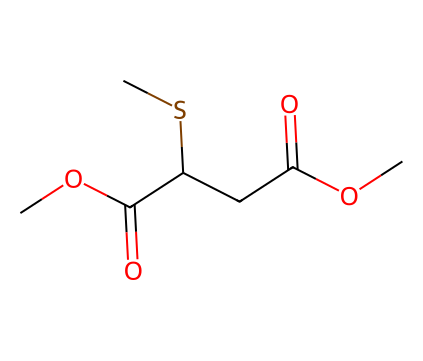 COC(=O)CC(SC)C(=O)OC